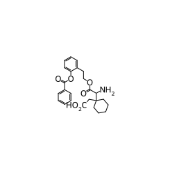 NC(C(=O)OCCc1ccccc1OC(=O)c1ccccc1)C1(CC(=O)O)CCCCC1